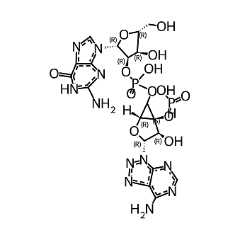 Nc1nc2c(ncn2[C@@H]2O[C@H](CO)[C@@H](O)[C@H]2OP(=O)(O)OC2[C@H]3O[C@@H](n4nnc5c(N)ncnc54)[C@H](O)[C@@]23O[PH](=O)O)c(=O)[nH]1